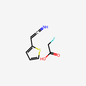 N=C=Cc1cccs1.O=C(O)CF